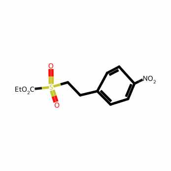 CCOC(=O)S(=O)(=O)CCc1ccc([N+](=O)[O-])cc1